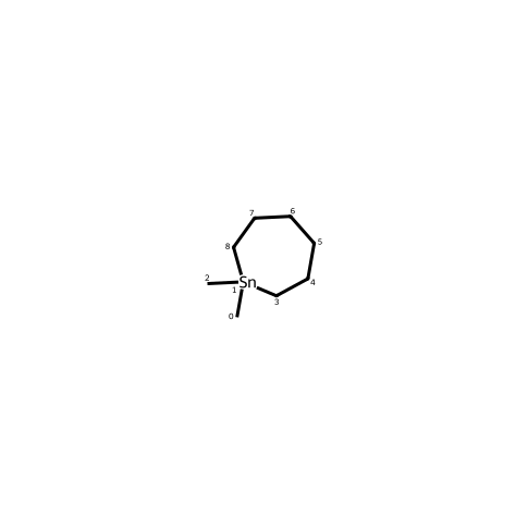 [CH3][Sn]1([CH3])[CH2]CCCC[CH2]1